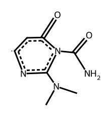 CN(C)c1n[c]cc(=O)n1C(N)=O